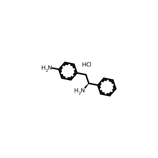 Cl.Nc1ccc(C[C@H](N)c2ccccc2)cc1